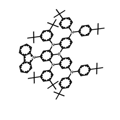 CC(C)(C)c1ccc(N(c2ccc(C(C)(C)C)cc2)c2ccc3c(c2)N(c2cc(C(C)(C)C)cc(C(C)(C)C)c2)c2cc(-n4c5ccccc5c5ccccc54)cc4c2B3c2ccc(N(c3ccc(C(C)(C)C)cc3)c3ccc(C(C)(C)C)cc3)cc2N4c2cc(C(C)(C)C)cc(C(C)(C)C)c2)cc1